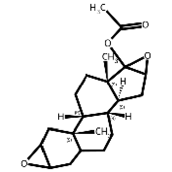 CC(=O)OC12OC1C[C@H]1[C@@H]3CCC4CC5OC5C[C@]4(C)[C@@H]3CC[C@@]12C